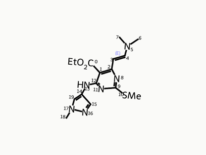 CCOC(=O)c1c(/C=C/N(C)C)nc(SC)nc1Nc1cnn(C)c1